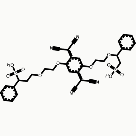 N#CC(C#N)=c1cc(OCCOC(CS(=O)(=O)O)c2ccccc2)c(=C(C#N)C#N)cc1OCCOCCC(c1ccccc1)S(=O)(=O)O